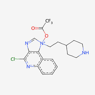 O=C(O[N+]1(CCC2CCNCC2)C=Nc2c(Cl)nc3ccccc3c21)C(F)(F)F